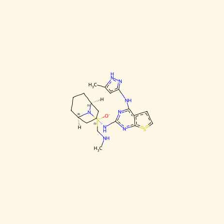 CNC[S+]([O-])N1[C@@H]2CCC[C@H]1C[C@H](Nc1nc(Nc3cc(C)[nH]n3)c3ccsc3n1)C2